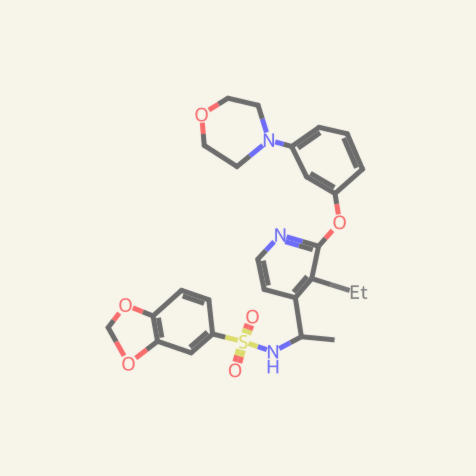 CCc1c(C(C)NS(=O)(=O)c2ccc3c(c2)OCO3)ccnc1Oc1cccc(N2CCOCC2)c1